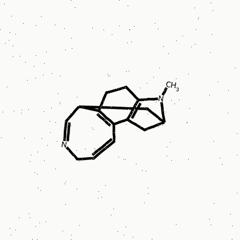 CN1C2=C3CC1CC1C=NCC=CC3=C1CC2